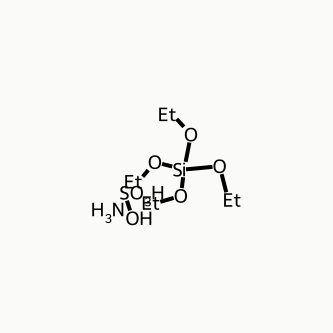 CCO[Si](OCC)(OCC)OCC.N.O=S(=O)(O)O